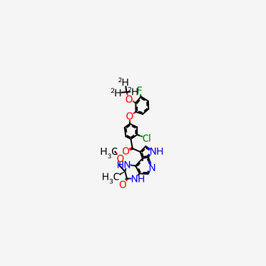 [2H]C([2H])([2H])Oc1c(F)cccc1Oc1ccc(C(=O)c2c[nH]c3ncc4c(c23)N[C@@](C)(COC)C(=O)N4)c(Cl)c1